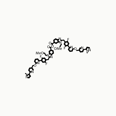 COCCn1c(Cc2cc(F)c(-c3cccc(OCc4ccc(-c5ccnn5C)nc4)n3)cc2F)nc2ccc(C(=O)OC(=O)c3ccc4nc(Cc5cc(F)c(-c6cccc(OCc7ccc(-c8ccnn8C)nc7)n6)cc5F)n(CCOC)c4c3)cc21